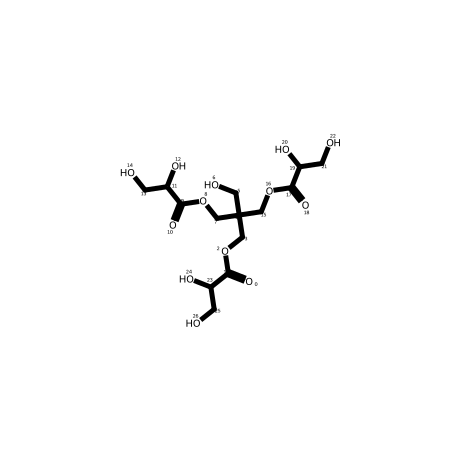 O=C(OCC(CO)(COC(=O)C(O)CO)COC(=O)C(O)CO)C(O)CO